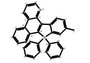 Cc1ccc2c(c1)[Si](c1ccccc1)(c1ccccc1)c1c-2c2ncccc2c2ccccc12